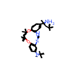 CN(c1ccc2c(c1)N=C=Nc1cc(C(C)(N)CC(C)(C)C)ccc1OC(C)(C)CC(C)(C)O2)C(C)(C)C